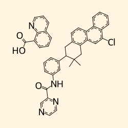 CC1(C)Cc2c(ccc3c2cc(Cl)c2ccccc23)CC1c1cccc(NC(=O)c2cnccn2)c1.O=C(O)c1cccc2cccnc12